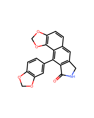 O=C1NCc2cc3ccc4c(c3c(-c3ccc5c(c3)OCO5)c21)OCO4